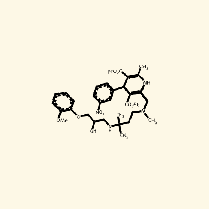 CCOC(=O)C1=C(C)NC(CN(C)CCC(C)(C)NCC(O)COc2ccccc2OC)=C(C(=O)OCC)C1c1cccc([N+](=O)[O-])c1